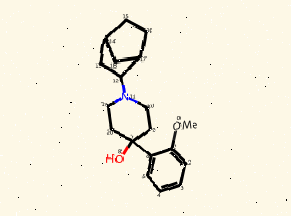 COc1ccccc1C1(O)CCN(C2CC3CCC2C3)CC1